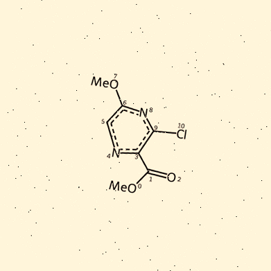 COC(=O)c1ncc(OC)nc1Cl